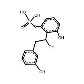 O=P(O)(O)Sc1cccc(O)c1C(O)Cc1cccc(O)c1